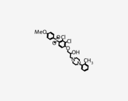 COc1ccc(S(=O)(=O)c2ccc(OCC(O)CN3CCN(c4ccccc4C)CC3)c(Cl)c2Cl)cc1